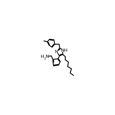 CCCCCCCc1[nH]c(Cc2ccc(C)cc2)nc1-c1ccccc1CN